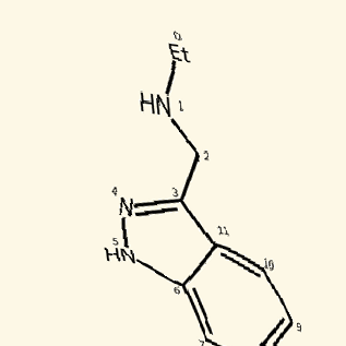 CCN[CH]c1n[nH]c2ccccc12